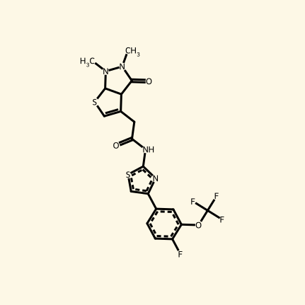 CN1C(=O)C2C(CC(=O)Nc3nc(-c4ccc(F)c(OC(F)(F)F)c4)cs3)=CSC2N1C